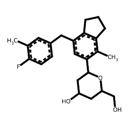 Cc1cc(Cc2cc(C3CC(O)CC(CO)O3)c(C)c3c2CCC3)ccc1F